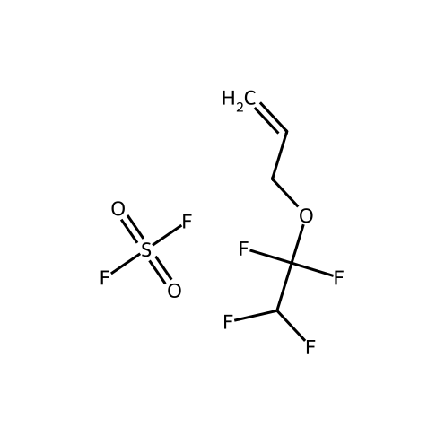 C=CCOC(F)(F)C(F)F.O=S(=O)(F)F